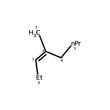 CCC=C(C)[CH]CCC